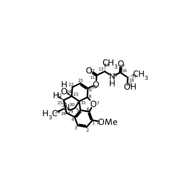 COc1ccc2c3c1OC1C(OC(=O)[C@H](C)NC(=O)[C@H](C)O)=CC[C@@]4(O)[C@@H](C2)N(C)CCC314